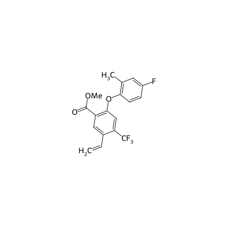 C=Cc1cc(C(=O)OC)c(Oc2ccc(F)cc2C)cc1C(F)(F)F